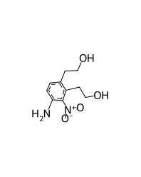 Nc1ccc(CCO)c(CCO)c1[N+](=O)[O-]